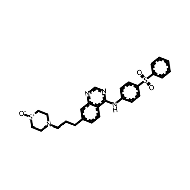 O=S(=O)(c1ccccc1)c1ccc(Nc2ncnc3cc(CCCN4CC[S+]([O-])CC4)ccc23)cc1